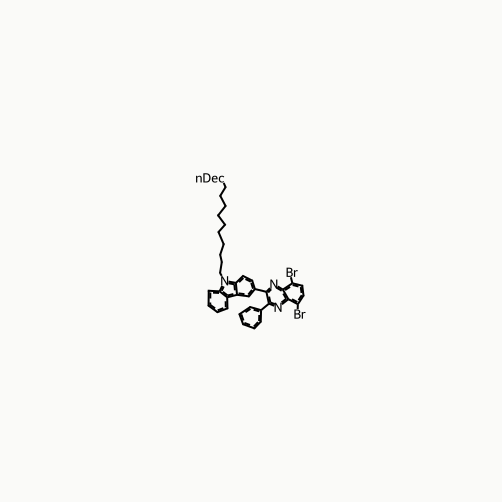 CCCCCCCCCCCCCCCCCCCCn1c2ccccc2c2cc(-c3nc4c(Br)ccc(Br)c4nc3-c3ccccc3)ccc21